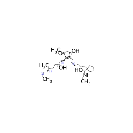 C/C=C\C=C(/C)CC[C@H](O)/C=C/[C@@H]1[C@@H](C/C=C\CCCC2(C(O)NCC)CCCC2)[C@@H](O)C[C@H]1OC